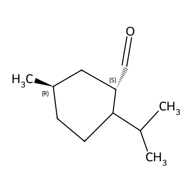 CC(C)C1CC[C@@H](C)C[C@@H]1C=O